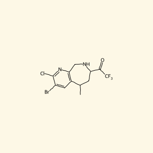 CC1CC(C(=O)C(F)(F)F)NCc2nc(Cl)c(Br)cc21